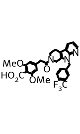 COc1cc(CC(=O)N2CCc3c(n(Cc4ccc(C(F)(F)F)cc4)c4ncccc34)C2)cc(OC)c1C(=O)O